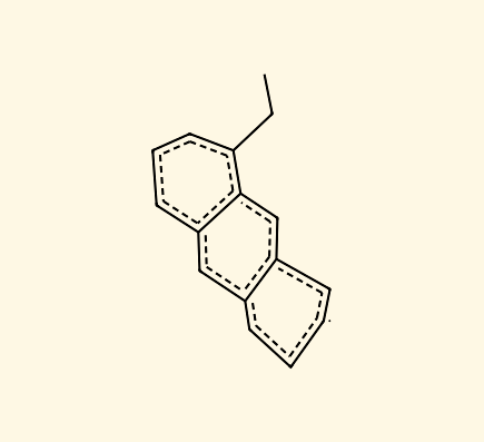 CCc1cccc2cc3cc[c]cc3cc12